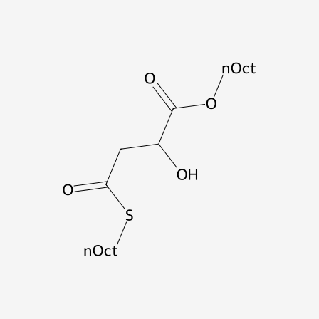 CCCCCCCCOC(=O)C(O)CC(=O)SCCCCCCCC